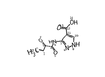 CCC(=O)C(=O)Nc1n[nH]cc1C(=O)O